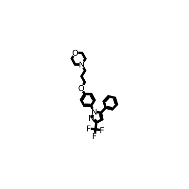 FC(F)(F)c1cc(-c2ccccc2)n(-c2ccc(OCCCN3CCOCC3)cc2)n1